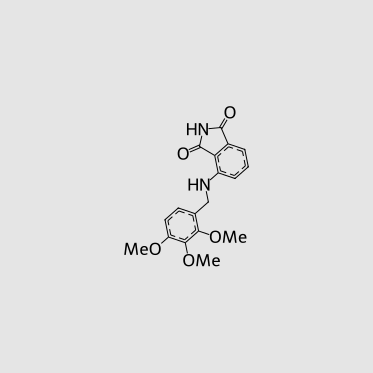 COc1ccc(CNc2cccc3c2C(=O)NC3=O)c(OC)c1OC